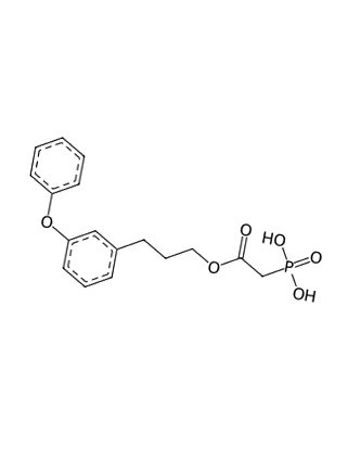 O=C(CP(=O)(O)O)OCCCc1cccc(Oc2ccccc2)c1